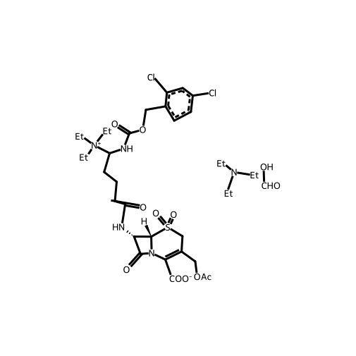 CCN(CC)CC.CC[N+](CC)(CC)C(CCCC(=O)N[C@H]1C(=O)N2C(C(=O)[O-])=C(COC(C)=O)CS(=O)(=O)[C@@H]12)NC(=O)OCc1ccc(Cl)cc1Cl.O=CO